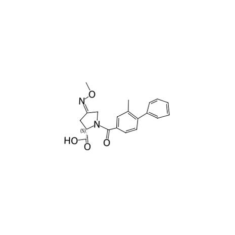 CON=C1C[C@@H](C(=O)O)N(C(=O)c2ccc(-c3ccccc3)c(C)c2)C1